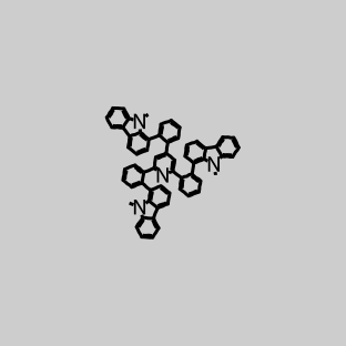 Cn1c2ccccc2c2cccc(-c3ccccc3-c3cc(-c4ccccc4-c4cccc5c6ccccc6n(C)c45)nc(-c4ccccc4-c4cccc5c6ccccc6n(C)c45)c3)c21